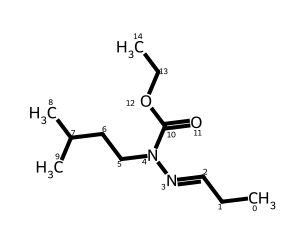 CCC=NN(CCC(C)C)C(=O)OCC